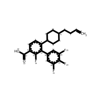 C=CCCC1CCC(c2ccc(C(=O)O)c(F)c2-c2cc(F)c(F)c(F)c2)CC1